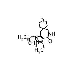 [CH2][C@H](C)Cn1nc(CC)c2c1CC1(CCOCC1)CNC2=O